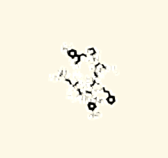 COc1ccc2c(CC(=O)N3CCC[C@H]3C(=O)N[C@@H](CC(C)C)C(=O)NCC(=O)N[C@@H](CSCCCc3ccccc3)C(=O)N[C@@H](CNc3ccc([N+](=O)[O-])cc3[N+](=O)[O-])C(=O)N[C@@H](C)C(=O)N[C@@H](CCCNC(=N)N)C(N)=O)cc(=O)oc2c1